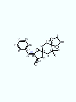 CC1(C)CC2(CCC13OCCO3)CC(=O)/C(=C/c1ccccc1)O2